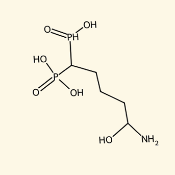 NC(O)CCCC([PH](=O)O)P(=O)(O)O